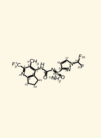 Cc1c(C(F)(F)F)nc2c(c1NC(=O)N=[S@](N)(=O)c1ccn(C(F)F)n1)CCC2